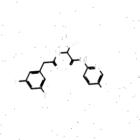 CCCC(NC(=O)Cc1cc(F)cc(F)c1)C(=O)Nc1ccc(C(=O)OCC)cn1